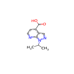 CC(C)n1ncc2c(C(=O)O)ccnc21